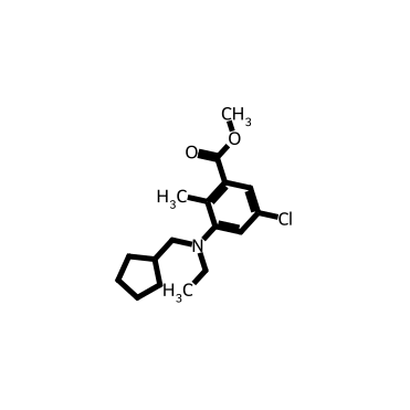 CCN(CC1CCCC1)c1cc(Cl)cc(C(=O)OC)c1C